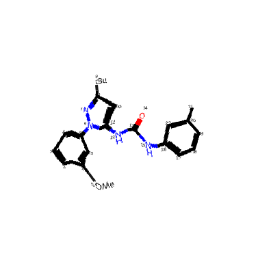 COc1cccc(-n2nc(C(C)(C)C)cc2NC(=O)Nc2cccc(C)c2)c1